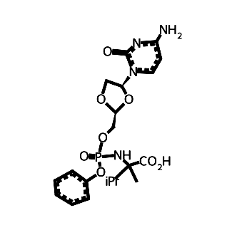 CC(C)C(C)(NP(=O)(OC[C@H]1OC[C@@H](n2ccc(N)nc2=O)O1)Oc1ccccc1)C(=O)O